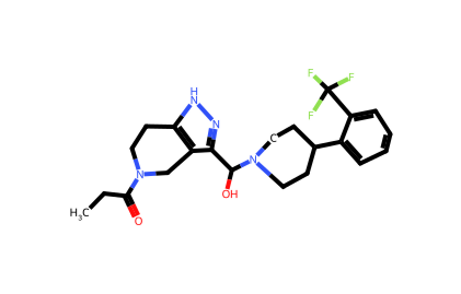 CCC(=O)N1CCc2[nH]nc(C(O)N3CCC(c4ccccc4C(F)(F)F)CC3)c2C1